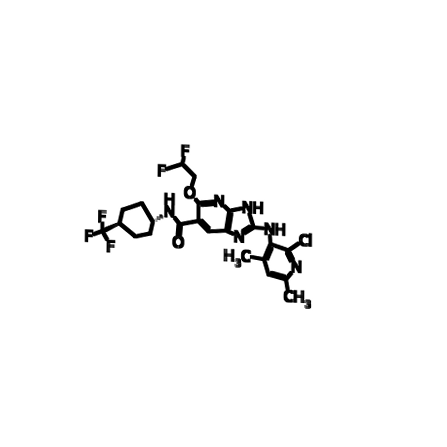 Cc1cc(C)c(Nc2nc3cc(C(=O)N[C@H]4CC[C@H](C(F)(F)F)CC4)c(OCC(F)F)nc3[nH]2)c(Cl)n1